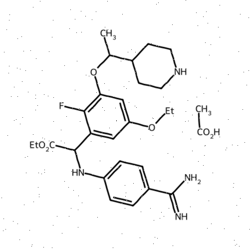 CC(=O)O.CCOC(=O)C(Nc1ccc(C(=N)N)cc1)c1cc(OCC)cc(OC(C)C2CCNCC2)c1F